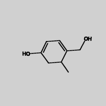 CC1CC(O)=CC=C1CO